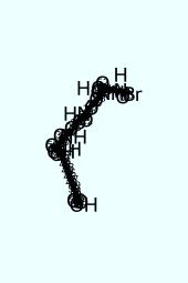 O=C(CBr)NCCCC[C@H](NC(=O)COCCOCCNC(=O)COCCOCCNC(=O)CC[C@H](NC(=O)CCCCCCCCCCCCCCCS(=O)(=O)O)C(=O)O)C(=O)O